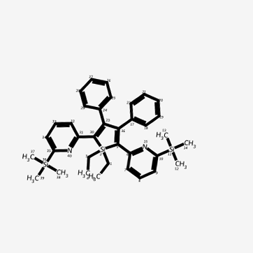 CC[Si]1(CC)C(c2cccc([Si](C)(C)C)n2)=C(c2ccccc2)C(c2ccccc2)=C1c1cccc([Si](C)(C)C)n1